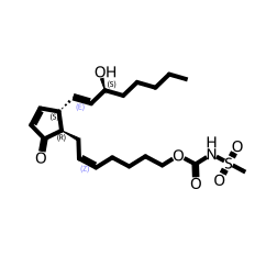 CCCCC[C@H](O)/C=C/[C@H]1C=CC(=O)[C@@H]1C/C=C\CCCCOC(=O)NS(C)(=O)=O